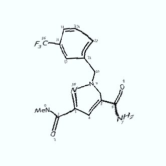 CNC(=O)c1cc(C(N)=O)n(Cc2cccc(C(F)(F)F)c2)n1